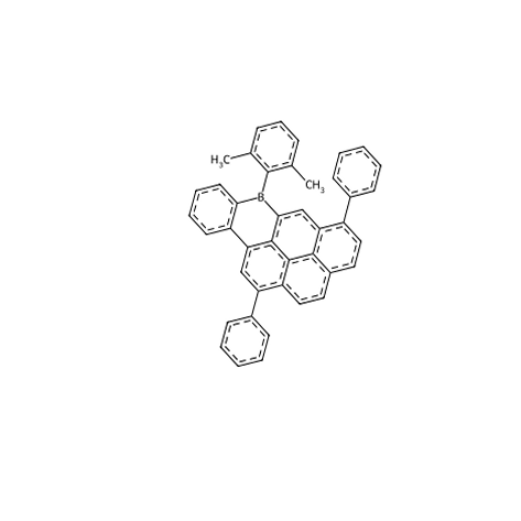 Cc1cccc(C)c1B1c2ccccc2-c2cc(-c3ccccc3)c3ccc4ccc(-c5ccccc5)c5cc1c2c3c45